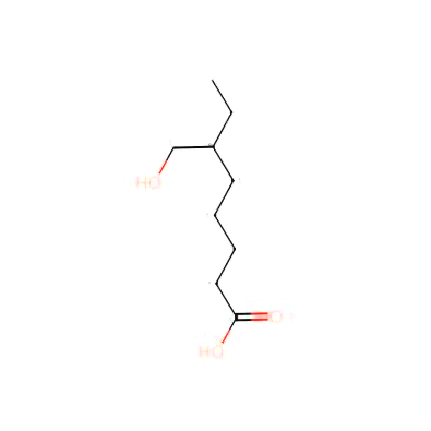 CCC(CO)CCCCC(=O)O